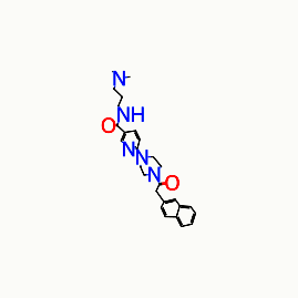 CN(C)CCCNC(=O)c1ccc(N2CCN(C(=O)Cc3ccc4ccccc4c3)CC2)nc1